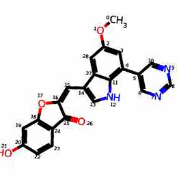 COc1cc(-c2cncnc2)c2[nH]cc(C=C3Oc4cc(O)ccc4C3=O)c2c1